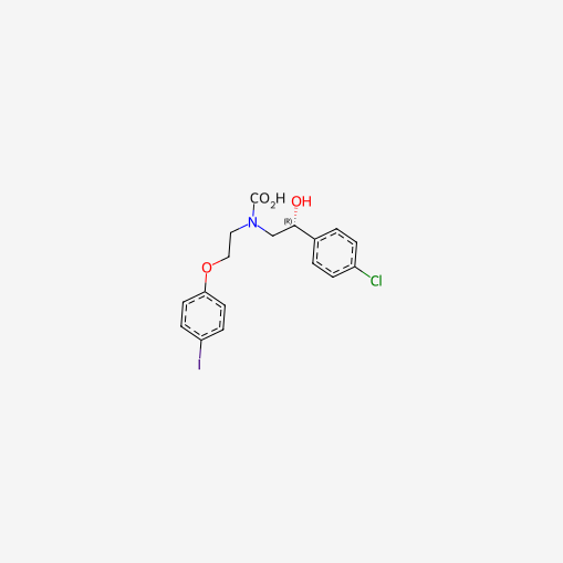 O=C(O)N(CCOc1ccc(I)cc1)C[C@H](O)c1ccc(Cl)cc1